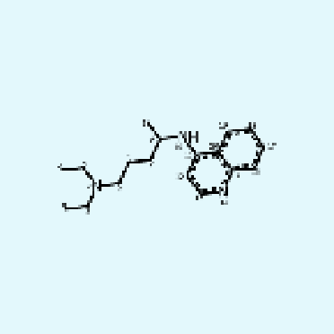 CCN(CC)CCCC(C)Nc1ccnc2ccccc12